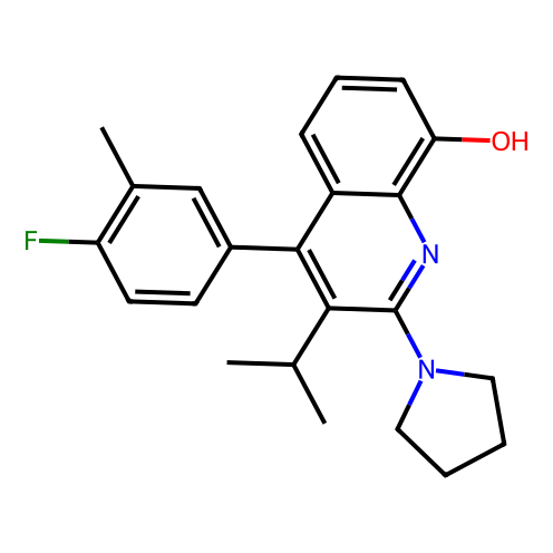 Cc1cc(-c2c(C(C)C)c(N3CCCC3)nc3c(O)cccc23)ccc1F